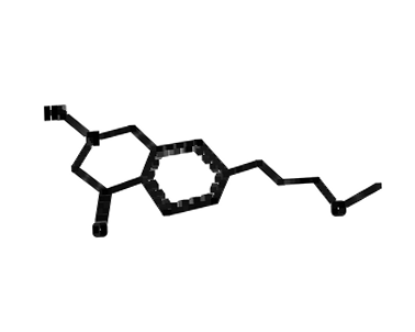 COCCCc1ccc2c(c1)CN(S)CC2=O